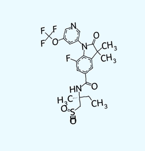 CC[C@@](C)(C[SH](=O)=O)NC(=O)c1cc(F)c2c(c1)C(C)(C)C(=O)N2c1cncc(OC(F)(F)F)c1